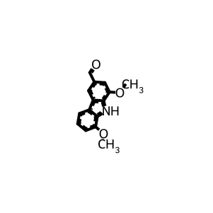 COc1cccc2c1[nH]c1c(OC)cc(C=O)cc12